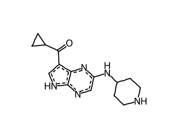 O=C(c1c[nH]c2ncc(NC3CCNCC3)nc12)C1CC1